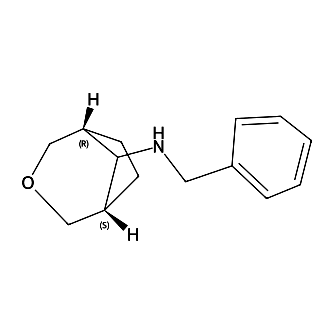 c1ccc(CNC2[C@@H]3CC[C@H]2COC3)cc1